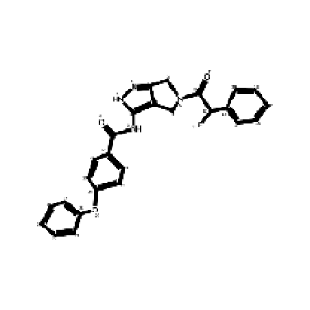 O=C(Nc1[nH]nc2c1CN(C(=O)C(F)c1ccccc1)C2)c1ccc(Oc2ccccc2)cc1